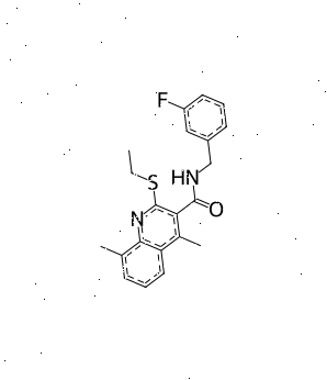 CCSc1nc2c(C)cccc2c(C)c1C(=O)NCc1cccc(F)c1